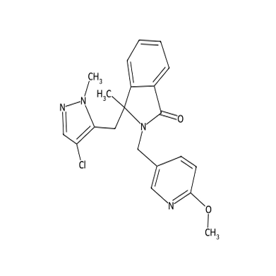 COc1ccc(CN2C(=O)c3ccccc3C2(C)Cc2c(Cl)cnn2C)cn1